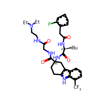 CCC(C)[C@H](NC(=O)Cc1ccccc1F)C(=O)N[C@]1(C(=O)NCC(=O)NCCN(CC)CC)CCc2[nH]c3c(C(F)(F)F)cccc3c2C1